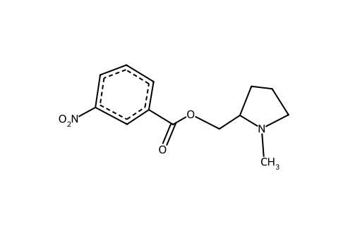 CN1CCCC1COC(=O)c1cccc([N+](=O)[O-])c1